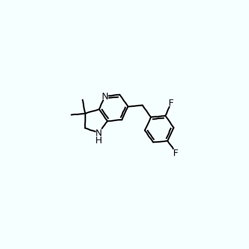 CC1(C)CNc2cc(Cc3ccc(F)cc3F)cnc21